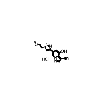 COCCn1cc(-c2cc(O)c3c(C#N)cnn3c2)nn1.Cl